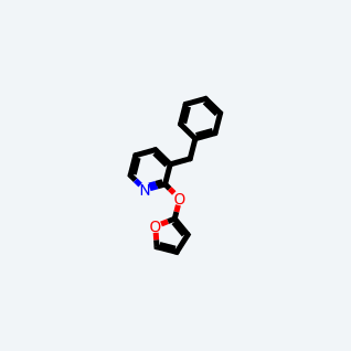 c1ccc(Cc2cccnc2Oc2ccco2)cc1